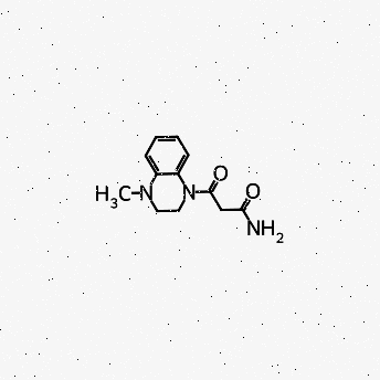 CN1CCN(C(=O)CC(N)=O)c2ccccc21